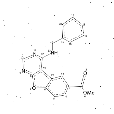 COC(=O)c1ccc2oc3ncnc(NCc4ccccc4)c3c2c1